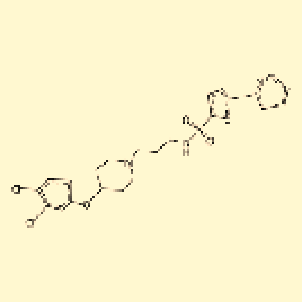 O=S(=O)(NCCCN1CCC(Oc2ccc(Cl)c(Cl)c2)CC1)c1ccc(-c2ccccn2)s1